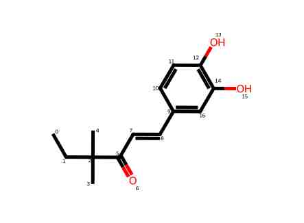 CCC(C)(C)C(=O)/C=C/c1ccc(O)c(O)c1